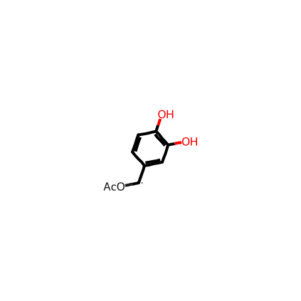 CC(=O)O[CH]c1ccc(O)c(O)c1